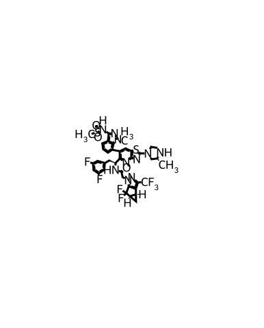 C[C@@H]1CN(c2nc3nc([C@H](Cc4cc(F)cc(F)c4)NC(=O)Cn4nc(C(F)(F)F)c5c4C(F)(F)[C@@H]4C[C@H]54)c(-c4cccc5c(NS(C)(=O)=O)nn(C)c45)cc3s2)CCN1